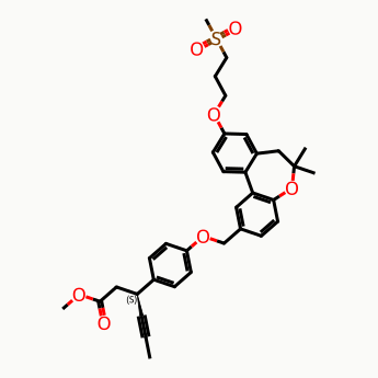 CC#C[C@@H](CC(=O)OC)c1ccc(OCc2ccc3c(c2)-c2ccc(OCCCS(C)(=O)=O)cc2CC(C)(C)O3)cc1